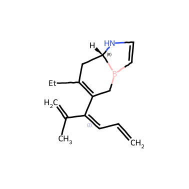 C=C/C=C(/C(=C)C)C1=C(CC)C[C@@H]2NC=CB2C1